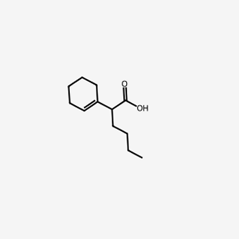 CCCCC(C(=O)O)C1=CCCCC1